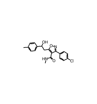 CNC(=O)c1c(-c2ccc(Cl)cc2)noc1CC(O)c1ccc(C)cc1